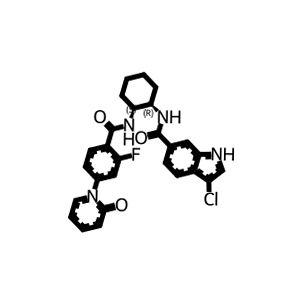 O=C(N[C@@H]1CCCC[C@@H]1NC(=O)c1ccc(-n2ccccc2=O)cc1F)c1ccc2c(Cl)c[nH]c2c1